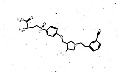 CC(=O)N(C)CCS(=O)(=O)c1ccc(OCC2CN(CCc3cccc(C#N)c3)CC2C)cc1